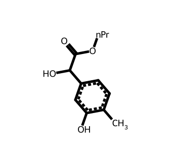 CCCOC(=O)C(O)c1ccc(C)c(O)c1